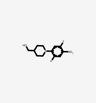 O=[N+]([O-])c1cc(F)c(N2CCC(CO)CC2)cc1F